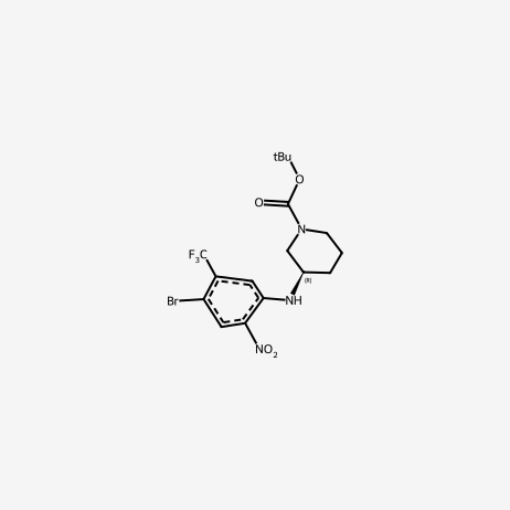 CC(C)(C)OC(=O)N1CCC[C@@H](Nc2cc(C(F)(F)F)c(Br)cc2[N+](=O)[O-])C1